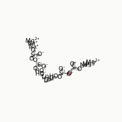 O=[Si]([O-])[O-].O=[Si]([O-])[O-].O=[Si]([O-])[O-].O=[Si]([O-])[O-].[Li+].[Li+].[Li+].[Mg+2].[Mg+2].[Mg+2].[Na+].[Na+].[Na+].[OH-].[OH-].[OH-].[OH-]